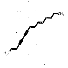 C/C=C/C#CC#C/C=C/C=C/CCCC